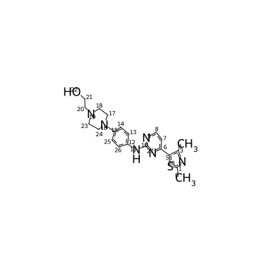 Cc1nc(C)c(-c2ccnc(Nc3ccc(N4CCN(CCO)CC4)cc3)n2)s1